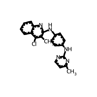 Cc1ccnc(Nc2ccc(Nc3nc4ccccc4c(Cl)c3C)cc2)n1